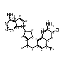 CC(Cc1cc(F)c2cc(Cl)c(N)nc2c1)C1=CC(n2ccc3c(N)ncnc32)CC1